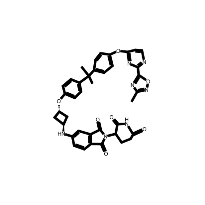 Cc1noc(-c2nccc(Oc3ccc(C(C)(C)c4ccc(O[C@H]5C[C@H](Nc6ccc7c(c6)C(=O)N(C6CCC(=O)NC6=O)C7=O)C5)cc4)cc3)n2)n1